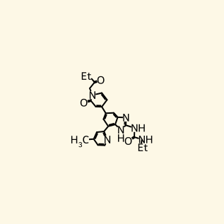 CCNC(=O)Nc1nc2cc(-c3ccn(CC(=O)CC)c(=O)c3)cc(-c3cc(C)ccn3)c2[nH]1